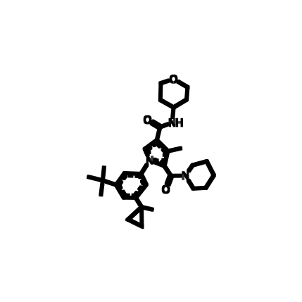 Cc1c(C(=O)NC2CCOCC2)cn(-c2cc(C(C)(C)C)cc(C3(C)CC3)c2)c1C(=O)N1CCCCC1